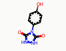 O=c1[nH][nH]c(=O)n1-c1ccc(O)cc1